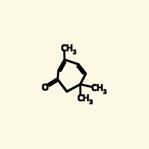 CC1=CC(=O)CC(C)(C)C=C1